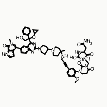 COc1ccc(C#CCNC2(C)CCN(C3CCN(c4nc(C(CO)(OC5CC5)c5ccccc5)c5cc(-c6cn(C)c(=O)c7[nH]ccc67)ccc5n4)CC3)CC2)cc1N1CCC(=O)N(CNC(=O)C(CC(N)=O)NC(=O)O)C1=O